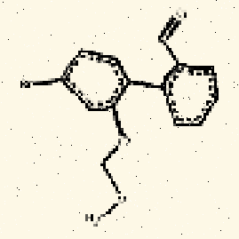 COCOc1cc(Br)ccc1-c1ccccc1C=O